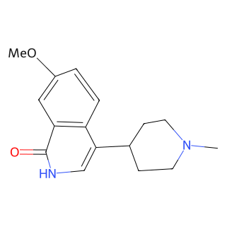 COc1ccc2c(C3CCN(C)CC3)c[nH]c(=O)c2c1